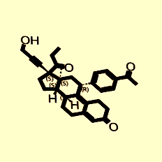 CCC(=O)[C@@]1(C#CCO)CC[C@H]2[C@@H]3CCC4=CC(=O)CCC4=C3[C@@H](c3ccc(C(C)=O)cc3)C[C@@]21C